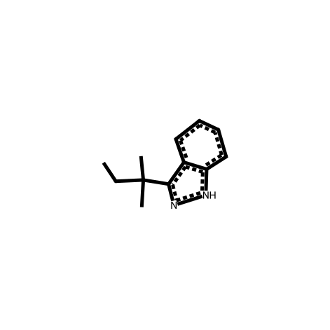 CCC(C)(C)c1n[nH]c2ccccc12